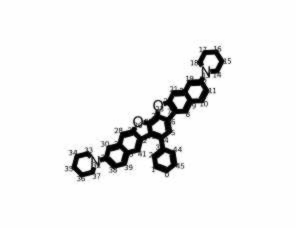 c1ccc(-c2cc3c4cc5ccc(N6CCCCC6)cc5cc4oc3c3oc4cc5cc(N6CCCCC6)ccc5cc4c23)cc1